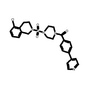 O=C(c1ccc(-c2ccncc2)cc1)N1CCN(S(=O)(=O)N2CCc3c(Cl)cccc3C2)CC1